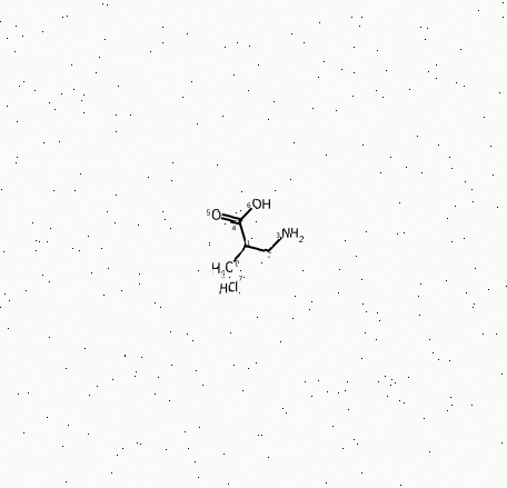 CC(CN)C(=O)O.Cl